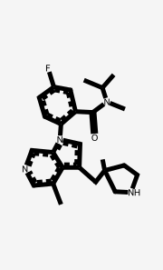 Cc1cncc2c1c(CC1(C)CCNC1)cn2-c1ccc(F)cc1C(=O)N(C)C(C)C